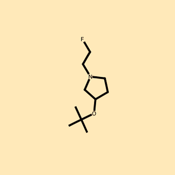 CC(C)(C)OC1CCN(CCF)C1